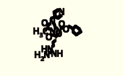 C[C@H]1C(=O)N(Cc2ccncc2)CC2N(C(=O)OCC3CCCCC3)O[C@H](CCCNC(=N)N)C(=O)N21